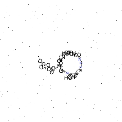 CO[C@H]1C[C@@H]2CC[C@@H](C)[C@@](O)(O2)C(=O)C(=O)N2CCCC[C@H]2C(=O)O[C@H]([C@H](C)C[C@@H]2CC[C@@H](OC(=O)C3(C)COC(C)(c4ccccc4)OC3)[C@H](OC)C2)CC(=O)[C@H](C)/C=C(\C)[C@@H](O)[C@@H](CO)C(=O)[C@H](C)C[C@H](C)/C=C/C=C/C=C/1C